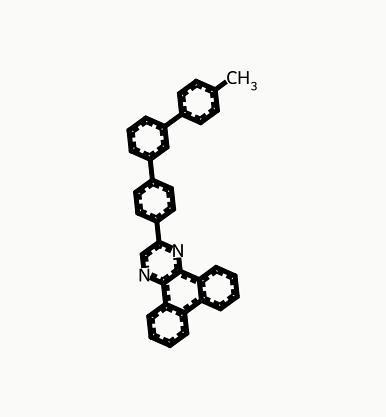 Cc1ccc(-c2cccc(-c3ccc(-c4cnc5c6ccccc6c6ccccc6c5n4)cc3)c2)cc1